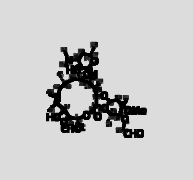 CC[C@H]1OC(=O)[C@H](C)[C@@H](OC2C[C@@](C)(OC)[C@@H](OCC=O)[C@H](C)O2)[C@H](C)[C@@H](O[C@@H]2O[C@H](C)C[C@H](N(C)C)[C@H]2O)[C@](C)(O)C[C@@H](C)CN(C)[C@H](C)[C@H](O)[C@]1(C)OC=O